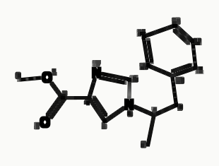 COC(=O)c1cn(C(C)Cc2ccccc2)cn1